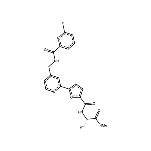 CNC(=O)[C@@H](NC(=O)c1ccc(-c2cc(CNC(=O)c3cccc(F)n3)ccn2)o1)C(C)C